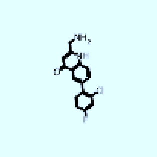 NCc1cc(=O)c2cc(-c3ccc(F)cc3Cl)ccc2[nH]1